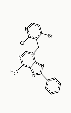 Nc1ncn(Cc2c(Br)ccnc2Cl)c2nc(-c3ccccc3)nc1-2